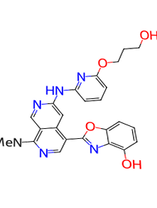 CNc1ncc(-c2nc3c(O)cccc3o2)c2cc(Nc3cccc(OCCCO)n3)ncc12